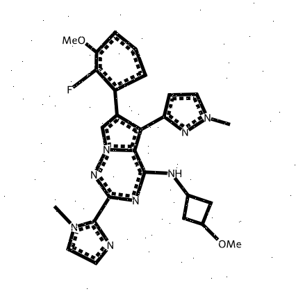 COc1cccc(-c2cn3nc(-c4nccn4C)nc(NC4CC(OC)C4)c3c2-c2ccn(C)n2)c1F